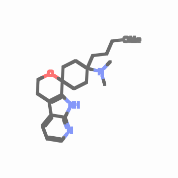 COCCCC1(N(C)C)CCC2(CC1)OCCc1c2[nH]c2ncccc12